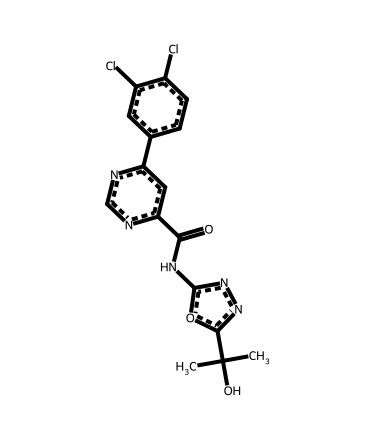 CC(C)(O)c1nnc(NC(=O)c2cc(-c3ccc(Cl)c(Cl)c3)ncn2)o1